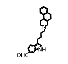 O=Cc1ccc2c(CCCCN3CCC4=C(CCc5ccccc54)C3)c[nH]c2c1